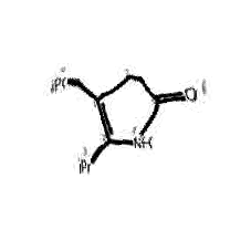 CC(C)C1=C(C(C)C)NC(=O)C1